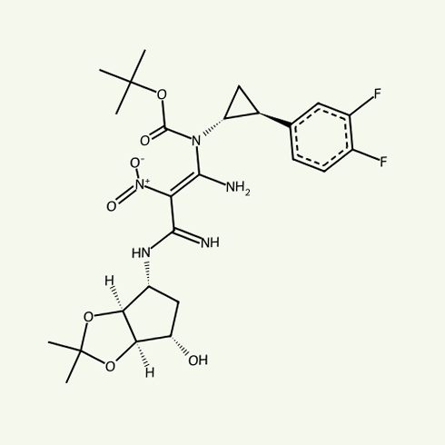 CC(C)(C)OC(=O)N(/C(N)=C(/C(=N)N[C@@H]1C[C@H](O)[C@H]2OC(C)(C)O[C@H]21)[N+](=O)[O-])[C@@H]1C[C@H]1c1ccc(F)c(F)c1